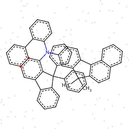 CC1(C)c2cc(N(c3ccccc3-c3ccccc3)c3cccc4c3C(c3ccccc3)(c3ccccc3)c3ccccc3-4)ccc2-c2c1ccc1ccccc21